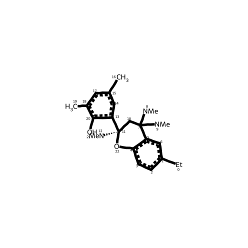 CCc1ccc2c(c1)C(NC)(NC)C[C@](NC)(c1cc(C)cc(C)c1O)O2